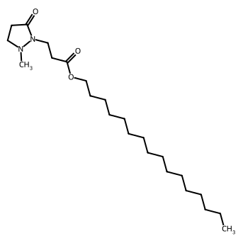 CCCCCCCCCCCCCCCCOC(=O)CCN1C(=O)CCN1C